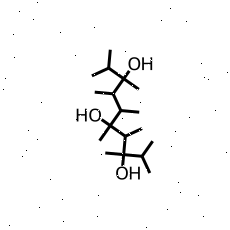 CC(C)C(C)(O)C(C)C(C)C(C)(O)C(C)C(C)(O)C(C)C